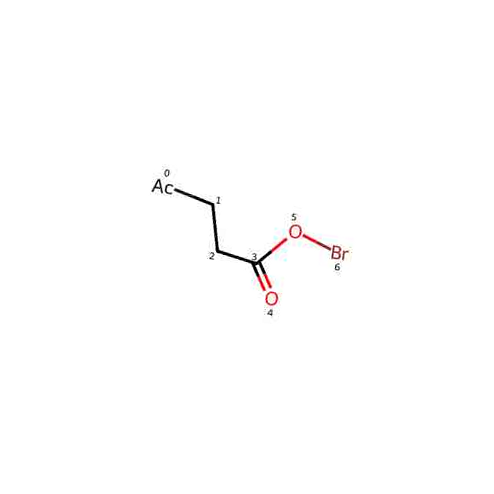 CC(=O)CCC(=O)OBr